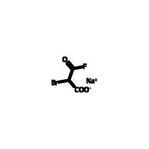 O=C([O-])C(Br)C(=O)F.[Na+]